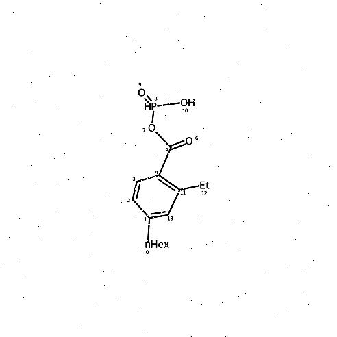 CCCCCCc1ccc(C(=O)O[PH](=O)O)c(CC)c1